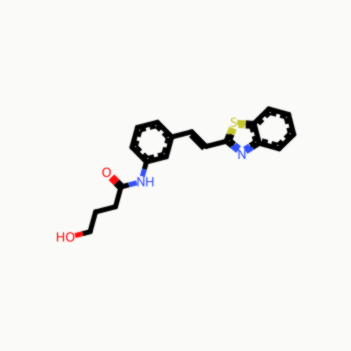 O=C(CCCO)Nc1cccc(C=Cc2nc3ccccc3s2)c1